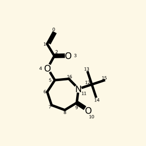 C=CC(=O)OC1CCCC(=O)N(C(C)(C)C)C1